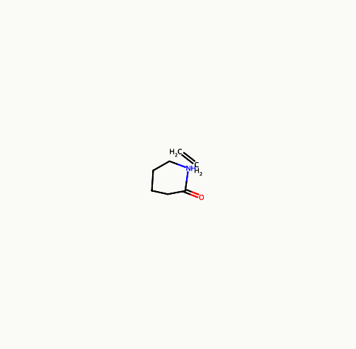 C=C.O=C1CCCCN1